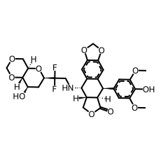 COc1cc([C@@H]2c3cc4c(cc3[C@@H](NCC(F)(F)[C@H]3C[C@@H](O)[C@@H]5OCOC[C@H]5O3)[C@H]3COC(=O)[C@H]23)OCO4)cc(OC)c1O